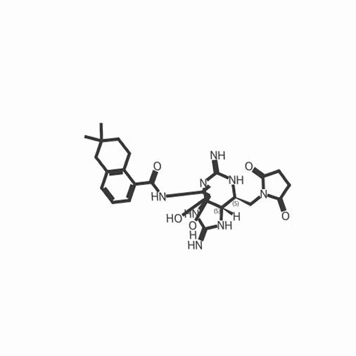 CC1(C)CCc2c(cccc2C(=O)NC2CN3C(=N)N[C@@H](CN4C(=O)CCC4=O)[C@@H]4NC(=N)NC43C2(O)O)C1